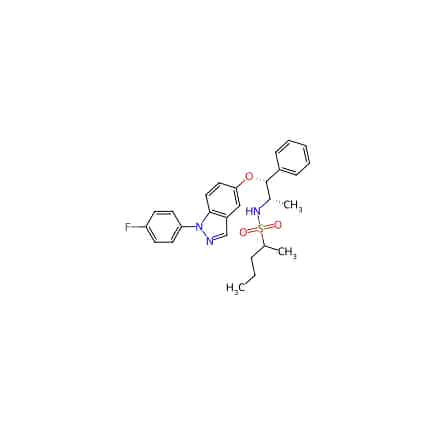 CCCC(C)S(=O)(=O)N[C@@H](C)[C@H](Oc1ccc2c(cnn2-c2ccc(F)cc2)c1)c1ccccc1